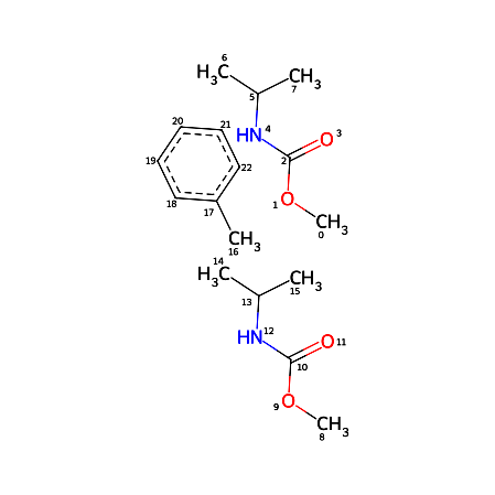 COC(=O)NC(C)C.COC(=O)NC(C)C.Cc1ccccc1